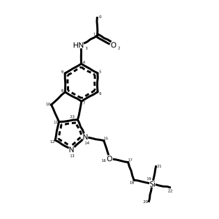 CC(=O)Nc1ccc2c(c1)Cc1cnn(COCC[Si](C)(C)C)c1-2